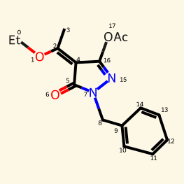 CCOC(C)=C1C(=O)N(Cc2ccccc2)N=C1OC(C)=O